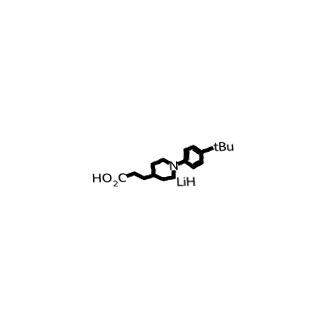 CC(C)(C)c1ccc(N2CCC(CCC(=O)O)CC2)cc1.[LiH]